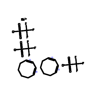 C1=C\CCCC\C=C/1.C1=C\CCCC\C=C/1.O=S(=O)([O-])C(F)(F)F.O=S(=O)([O-])C(F)(F)F.O=S(=O)([O-])C(F)(F)F.[Rh+3]